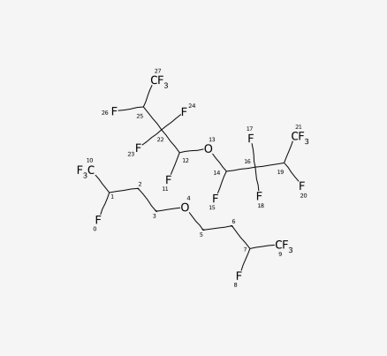 FC(CCOCCC(F)C(F)(F)F)C(F)(F)F.FC(OC(F)C(F)(F)C(F)C(F)(F)F)C(F)(F)C(F)C(F)(F)F